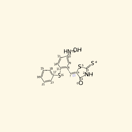 O=C1NC(=S)S/C1=C\c1cc(NO)ccc1Sc1ccccc1